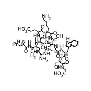 CC(C)C[C@H](N)C(=O)N[C@@H](C)C(=O)N[C@H](C(=O)N[C@@H](CCC(=O)O)C(=O)N[C@@H](CCCCN)C(=O)N[C@@H](CO)C(=O)N[C@@H](CCCNC(=N)N)C(=O)N[C@@H](Cc1c[nH]c2ccccc12)C(=O)N[C@@H](CO)C(=O)NCC(=O)O)[C@@H](C)O